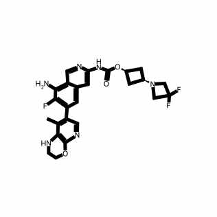 Cc1c(-c2cc3cc(NC(=O)O[C@H]4C[C@@H](N5CC(F)(F)C5)C4)ncc3c(N)c2F)cnc2c1NCCO2